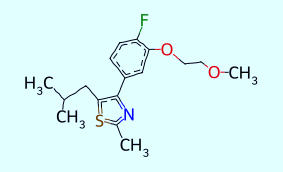 COCCOc1cc(-c2nc(C)sc2CC(C)C)ccc1F